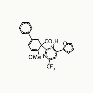 COC1=CC=C(c2ccccc2)CC1(C(=O)O)c1nc(-c2ccco2)cc(C(F)(F)F)n1